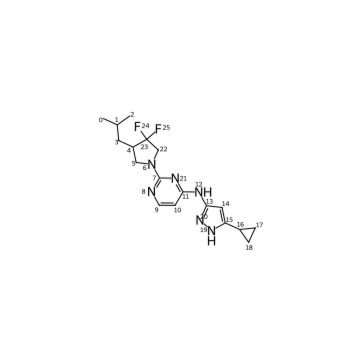 CC(C)CC1CN(c2nccc(Nc3cc(C4CC4)[nH]n3)n2)CC1(F)F